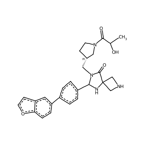 CC(O)C(=O)N1CC[C@@H](CN2C(=O)C3(CNC3)NC2c2ccc(-c3ccc4occc4c3)cc2)C1